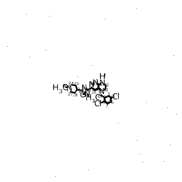 C[C@H](c1cc(Cl)ccc1Cl)N1CCNc2nnc(-c3noc(C4CCN(C)CC4)n3)cc21